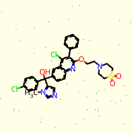 Cn1cncc1C(O)(c1ccc(Cl)cc1)c1ccc2nc(OCCN3CCS(=O)(=O)CC3)c(-c3ccccc3)c(Cl)c2c1